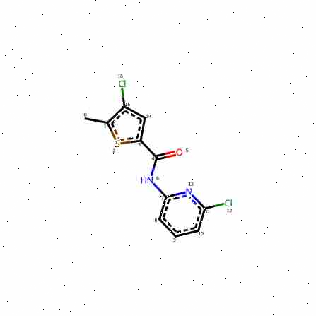 Cc1sc(C(=O)Nc2cccc(Cl)n2)cc1Cl